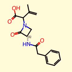 C=C(C)C(C(=O)O)N1C[C@H](NC(=O)Cc2ccccc2)C1=O